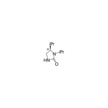 CC(C)[C@@H]1CNC(=O)N1C(C)C